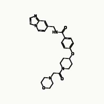 O=C(NCc1ccn2ccnc2c1)c1ccc(OC2CCN(C(=O)CN3CCOCC3)CC2)cc1